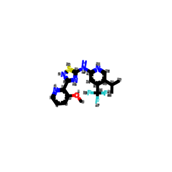 COc1cccnc1-c1nsc(Nc2cc(C(F)(F)F)c(C(C)C)cn2)n1